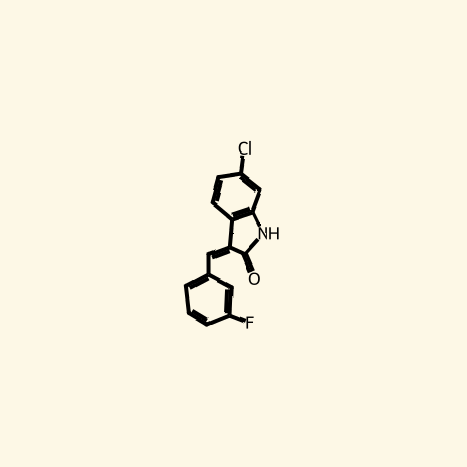 O=C1Nc2cc(Cl)ccc2/C1=C/c1cccc(F)c1